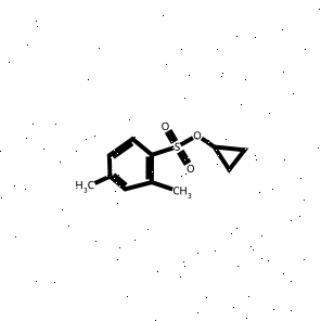 Cc1ccc(S(=O)(=O)OC2CC2)c(C)c1